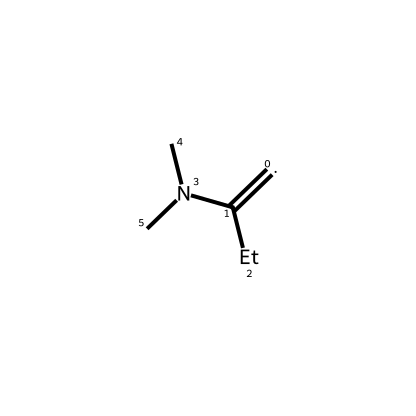 [CH]=C(CC)N(C)C